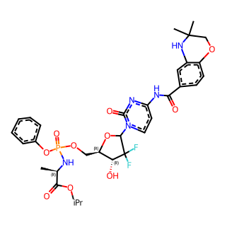 CC(C)OC(=O)[C@@H](C)NP(=O)(OC[C@H]1OC(n2ccc(NC(=O)c3ccc4c(c3)NC(C)(C)CO4)nc2=O)C(F)(F)[C@@H]1O)Oc1ccccc1